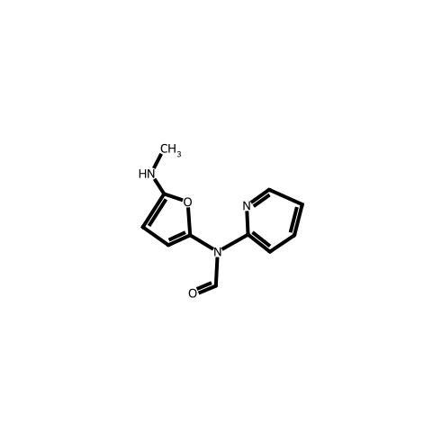 CNc1ccc(N(C=O)c2ccccn2)o1